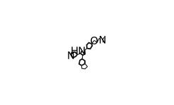 CN(C)CCOc1ccc(-c2cc(-c3ccc4c(c3)CCC4)c(-c3ccncc3)[nH]2)cc1